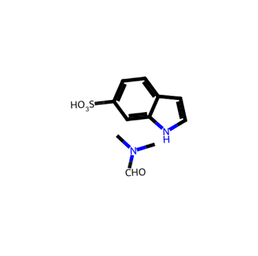 CN(C)C=O.O=S(=O)(O)c1ccc2cc[nH]c2c1